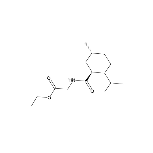 CCOC(=O)CNC(=O)[C@H]1C[C@H](C)CCC1C(C)C